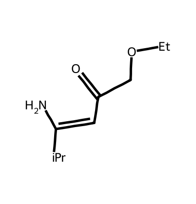 CCOCC(=O)/C=C(\N)C(C)C